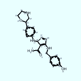 NC(=O)C1=C(NCc2ccc(O)cc2)N=NC1Nc1ccc(C2CNCCO2)cc1